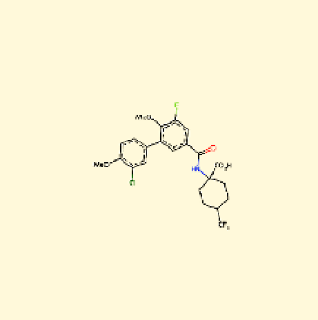 COc1ccc(-c2cc(C(=O)NC3(C(=O)O)CCC(C(F)(F)F)CC3)cc(F)c2OC)cc1Cl